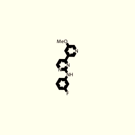 COc1cncc(-c2ccnc(Nc3cccc(F)c3)n2)c1